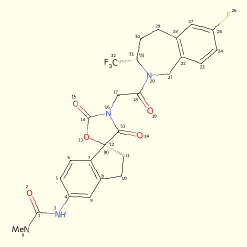 CNC(=O)Nc1ccc2c(c1)CC[C@@]21OC(=O)N(CC(=O)N2Cc3ccc(F)cc3CC[C@H]2C(F)(F)F)C1=O